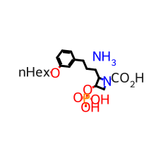 CCCCCCOc1cccc(CCCC2C(OP(=O)(O)O)CN2C(=O)O)c1.N